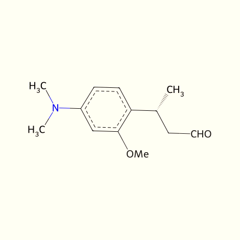 COc1cc(N(C)C)ccc1[C@H](C)CC=O